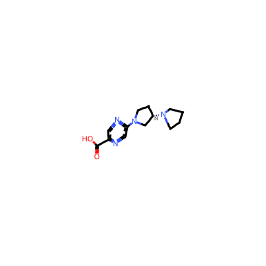 O=C(O)c1cnc(N2CC[C@H](N3CCCC3)C2)cn1